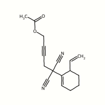 C=CC1CCCC=C1C(C#N)(C#N)CC#CCOC(C)=O